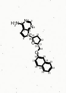 Nc1ncnc2c1ccn2[C@H]1CC[C@@H](COc2ccc3ccccc3c2)O1